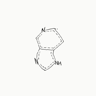 [c]1cc2[nH]cnc2cn1